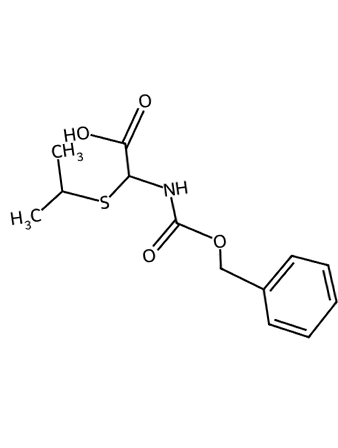 CC(C)SC(NC(=O)OCc1ccccc1)C(=O)O